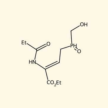 CCOC(=O)C(=CC[PH](=O)CO)NC(=O)CC